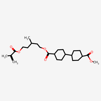 C=C(C)C(=O)OCCC(C)CCOC(=O)C1CCC(C2CCC(C(=O)OC)CC2)CC1